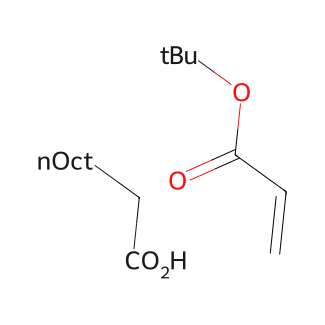 C=CC(=O)OC(C)(C)C.CCCCCCCCCC(=O)O